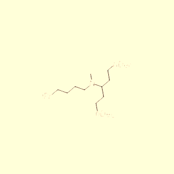 CCCCCCCCCCCCC(CCCCCCCCCCCC)N(C)CCCCC(C)C